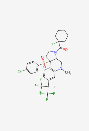 CN1CC2N(C(=O)C3(F)CCCCC3)CCC2(S(=O)(=O)c2ccc(Cl)cc2)c2ccc(C(F)(C(F)(F)F)C(F)(F)F)cc21